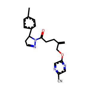 C=C(CCC(=O)N1N=CCC1c1ccc(C)cc1)COc1cnc(C#N)cn1